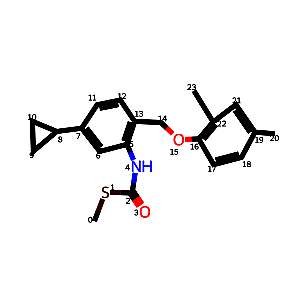 CSC(=O)Nc1cc(C2CC2)ccc1COc1ccc(C)cc1C